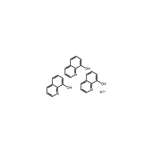 Oc1cccc2cccnc12.Oc1cccc2cccnc12.Oc1cccc2cccnc12.[In+3]